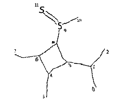 CC(C)C1C(C)C(C)C1S(C)=S